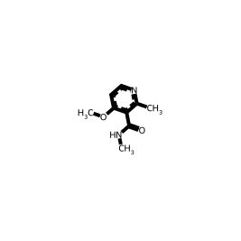 CNC(=O)c1c(OC)ccnc1C